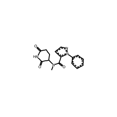 CN(C(=O)c1ccnn1-c1ccccc1)C1CCC(=O)NC1=O